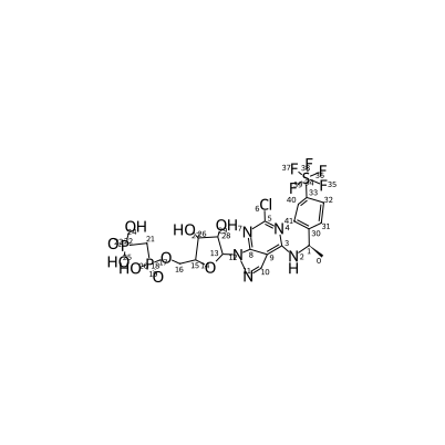 C[C@@H](Nc1nc(Cl)nc2c1cnn2C1OC(COP(=O)(O)CP(=O)(O)O)C(O)C1O)c1ccc(S(F)(F)(F)(F)F)cc1